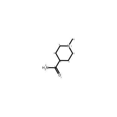 [CH2]N1CCC(C(N)=O)CC1